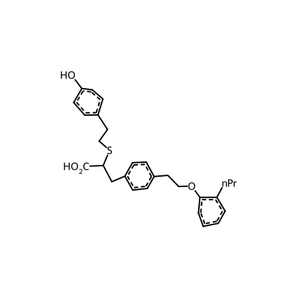 CCCc1ccccc1OCCc1ccc(CC(SCCc2ccc(O)cc2)C(=O)O)cc1